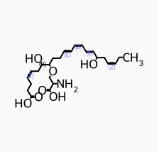 CC/C=C\CC(O)/C=C/C=C\C=C\CCC(OCC(N)C(=O)O)[C@H](O)C/C=C\CCC(=O)O